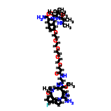 CN[C@@H](C)C(=O)N[C@H](C(=O)N1Cc2cc(OCCOCCOCCOCCOCCC(=O)NCCn3nc4c(c3OC)-c3cnc(N)c(c3)N3CCC[C@@H]3c3cc(F)ccc3C(=O)N(C)C4)ccc2C[C@H]1C(N)=O)C(C)(C)C